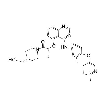 Cc1ccc(Oc2ccc(Nc3ncnc4cccc(O[C@H](C)C(=O)N5CCC(CO)CC5)c34)cc2C)cn1